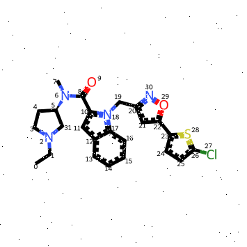 CCN1CC[C@@H](N(C)C(=O)c2cc3ccccc3n2Cc2cc(-c3ccc(Cl)s3)on2)C1